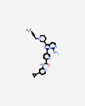 CC#CCN1CCCC(c2nc(-c3ccc(C(=O)Nc4cc(C5CC5)ccn4)nc3)n3c(N)nccc23)C1